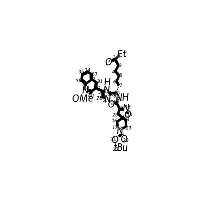 CCC(=O)CCCCC[C@H](NC(=O)C1=NOC2(CCN(C(=O)OC(C)(C)C)CC2)C1)c1ncc(-c2cc3ccccc3nc2OC)[nH]1